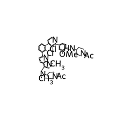 COc1cc(-c2nccc(-c3cccc(-c4ccc5c(CN(C)C6CCN(C(C)=O)CC6)cn(C)c5n4)c3Cl)c2Cl)ccc1CNC1CCN(C(C)=O)CC1